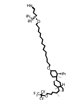 CCC[C@@H]1C[C@H](OCCCCCCCCCCCCCCOP(CCC=N)N(C(C)C)C(C)C)CC[C@]1(C)[C@H]1CC[C@@]2(C)[C@@H](CC[C@@H]2[C@H](C)CCCOC(C(F)(F)F)(C(F)(F)F)C(F)(F)F)C1